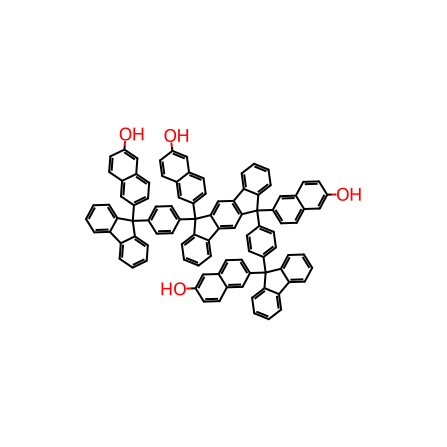 Oc1ccc2cc(C3(c4ccc(C5(c6ccc7cc(O)ccc7c6)c6ccccc6-c6cc7c(cc65)-c5ccccc5C7(c5ccc(C6(c7ccc8cc(O)ccc8c7)c7ccccc7-c7ccccc76)cc5)c5ccc6cc(O)ccc6c5)cc4)c4ccccc4-c4ccccc43)ccc2c1